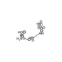 Nc1nnc(-c2ccccc2O)cc1OCCc1ccc(C(=O)NCCCCCCNc2ccc3c(c2)C(=O)N(C2CCC(=O)NC2=O)C3=O)cc1